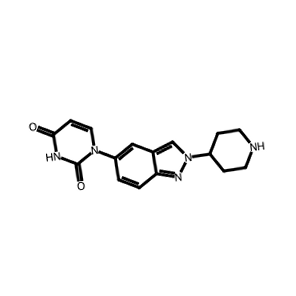 O=c1ccn(-c2ccc3nn(C4CCNCC4)cc3c2)c(=O)[nH]1